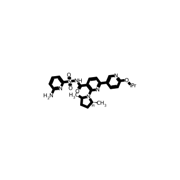 CC(C)Oc1ccc(-c2ccc(C(=O)NS(=O)(=O)c3cccc(N)n3)c(N3C(C)CC[C@H]3C)n2)cn1